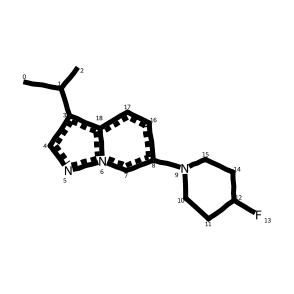 CC(C)c1cnn2cc(N3CCC(F)CC3)ccc12